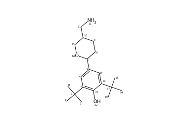 CC(C)(C)c1cc(C2CCC(CN)CO2)cc(C(C)(C)C)c1O